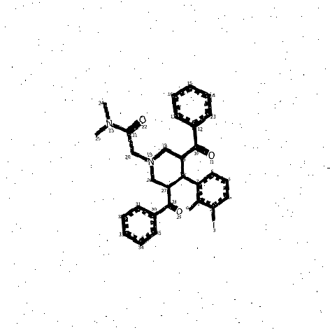 Cc1c(I)cccc1C1C(C(=O)c2ccccc2)CN(CC(=O)N(C)C)CC1C(=O)c1ccccc1